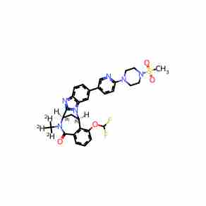 [2H]C([2H])([2H])N1C(=O)c2cccc(OC(F)F)c2[C@H]2C[C@@H]1c1nc3ccc(-c4ccc(N5CCN(S(C)(=O)=O)CC5)nc4)cc3n12